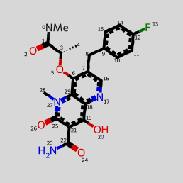 CNC(=O)[C@H](C)Oc1c(Cc2ccc(F)cc2)cnc2c(O)c(C(N)=O)c(=O)n(C)c12